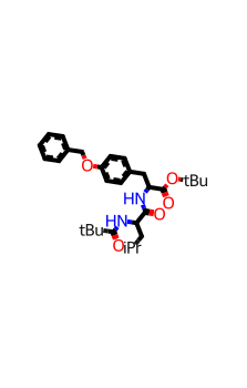 CC(C)CC(NC(=O)C(C)(C)C)C(=O)NC(Cc1ccc(OCc2ccccc2)cc1)C(=O)OC(C)(C)C